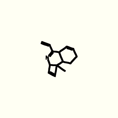 C=CC1=NC2C=CC2(C)C2CCC=CC12